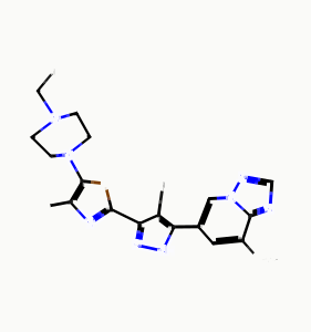 COc1cc(-c2[nH]nc(-c3nc(C)c(N4CCN(CC(C)C)CC4)s3)c2C(C)C)cn2ncnc12